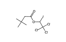 CC(C)(C)CC(=O)OC(I)C(Cl)(Cl)Cl